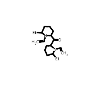 C=CN1C(CC)CCCC1C(=O)C1CCCC(CC)N1C=C